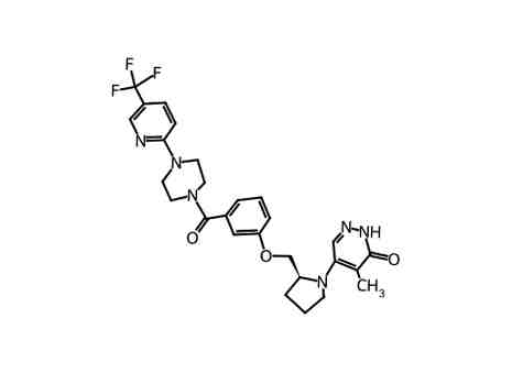 Cc1c(N2CCC[C@H]2COc2cccc(C(=O)N3CCN(c4ccc(C(F)(F)F)cn4)CC3)c2)cn[nH]c1=O